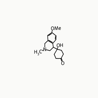 COc1ccc2c(c1)CN(C)CC2C1(O)CCC(=O)CC1